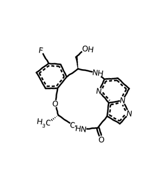 C[C@H]1CNC(=O)c2cnn3ccc(nc23)N[C@H](CO)c2cc(F)ccc2O1